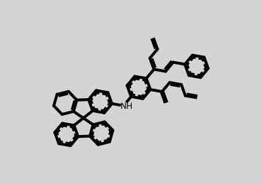 C=C/C=C\C(=C)c1cc(Nc2ccc3c(c2)C2(C4=C3C=CCC4)c3ccccc3-c3ccccc32)ccc1C(/C=C/c1ccccc1)=C/C=C